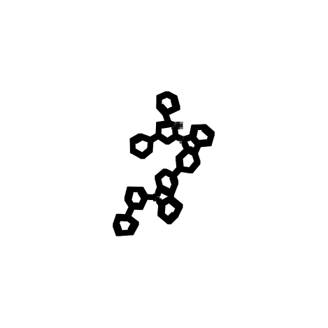 C1=CC(C2=CC(C3C=CCCC3)CC(n3c4c(c5ccccc53)CCC(C3=Cc5c(n(-c6cccc(-c7ccccc7)c6)c6ccccc56)CC3)=C4)N2)=CCC1